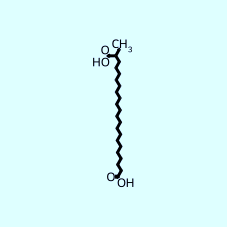 CCC(CCCCCCCCCCCCCCCCCCCC(=O)O)C(=O)O